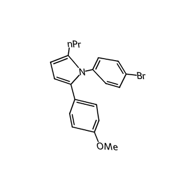 CCCc1ccc(-c2ccc(OC)cc2)n1-c1ccc(Br)cc1